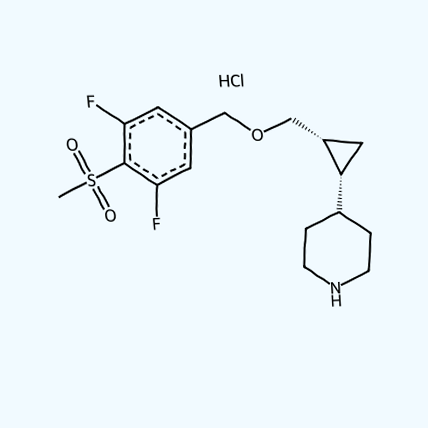 CS(=O)(=O)c1c(F)cc(COC[C@@H]2C[C@@H]2C2CCNCC2)cc1F.Cl